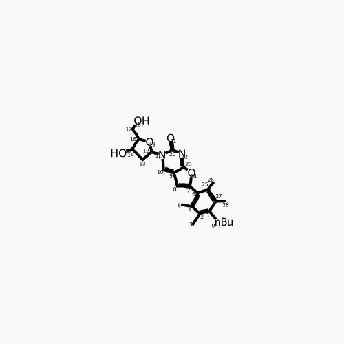 CCCCc1c(C)c(C)c(-c2cc3cn(C4CC(O)C(CO)O4)c(=O)nc3o2)c(C)c1C